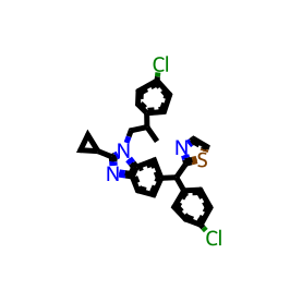 CC(Cn1c(C2CC2)nc2ccc(C(c3ccc(Cl)cc3)c3nccs3)cc21)c1ccc(Cl)cc1